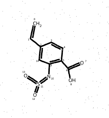 C=Cc1ccc(C(=O)O)c(N=S(=O)=O)c1